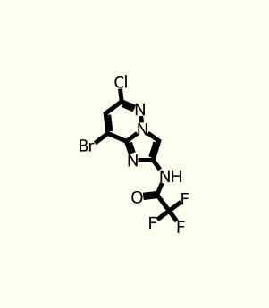 O=C(Nc1cn2nc(Cl)cc(Br)c2n1)C(F)(F)F